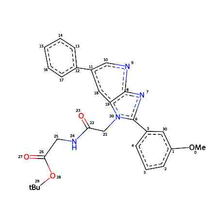 COc1cccc(-c2nc3ncc(-c4ccccc4)cc3n2CC(=O)NCC(=O)OC(C)(C)C)c1